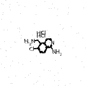 Cl.Cl.NCc1c(Cl)ccc2c(N)nccc12